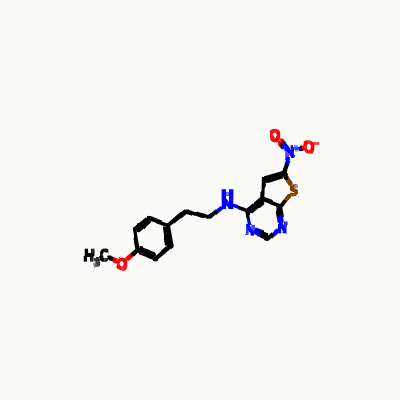 COc1ccc(CCNc2ncnc3sc([N+](=O)[O-])cc23)cc1